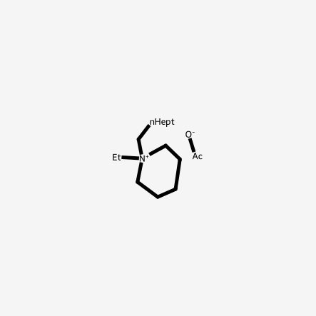 CC(=O)[O-].CCCCCCCC[N+]1(CC)CCCCC1